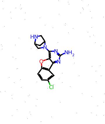 Nc1nc(N2CC3CC2CN3)c2oc3ccc(Cl)cc3c2n1